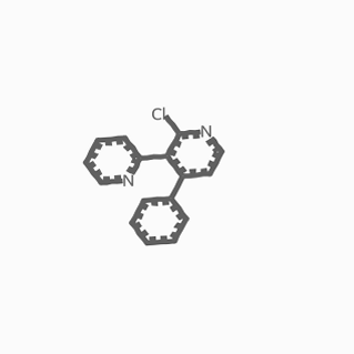 Clc1nccc(-c2ccccc2)c1-c1ccccn1